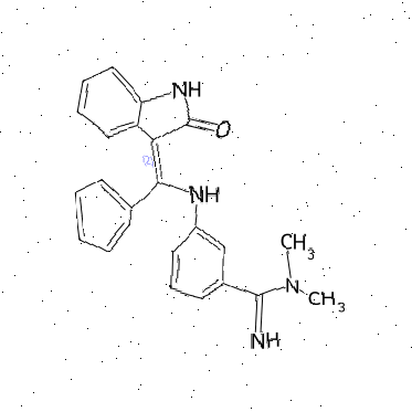 CN(C)C(=N)c1cccc(N/C(=C2\C(=O)Nc3ccccc32)c2ccccc2)c1